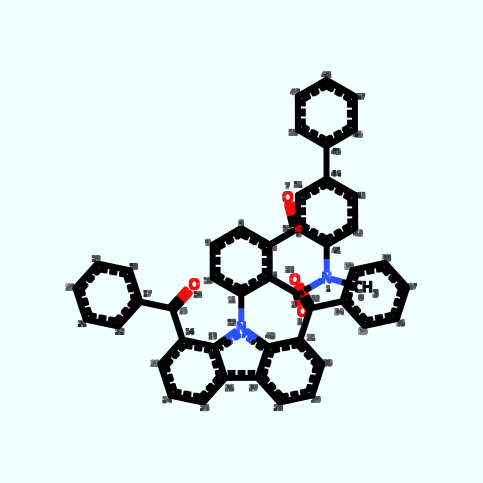 CN(C(=O)c1c(C=O)cccc1-n1c2c(C(=O)c3ccccc3)cccc2c2cccc(C(=O)c3ccccc3)c21)c1ccc(-c2ccccc2)cc1